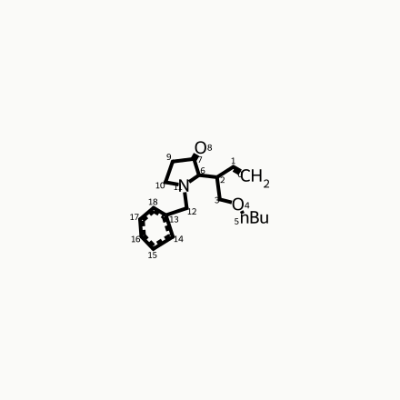 C=CC(COCCCC)C1C(=O)CCN1Cc1ccccc1